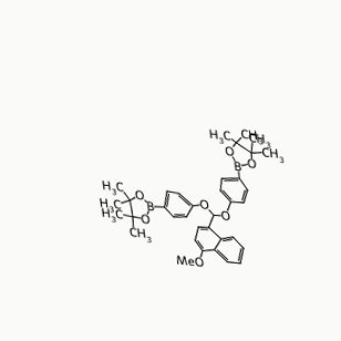 COc1ccc(C(Oc2ccc(B3OC(C)(C)C(C)(C)O3)cc2)Oc2ccc(B3OC(C)(C)C(C)(C)O3)cc2)c2ccccc12